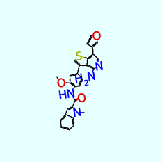 COc1cc(-c2csc3c(-c4ccoc4)cnc(N)c23)ccc1NC(=O)c1cc2ccccc2n1C